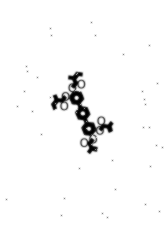 C=C(C)C(=O)Oc1ccc(-c2ccc(-c3ccc(OC(=O)/C(C)=C\C)c(OC(=O)/C(C)=C\C)c3)cc2)cc1OC(=O)C(=C)C